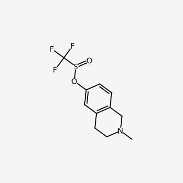 CN1CCc2cc(OS(=O)C(F)(F)F)ccc2C1